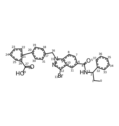 CCC(NC(=O)c1ccc2c(c1)c(Br)nn2Cc1ccc(-c2ccccc2C(=O)O)cc1)c1ccccc1